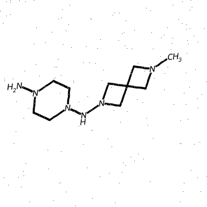 CN1CC2(C1)CN(NN1CCN(N)CC1)C2